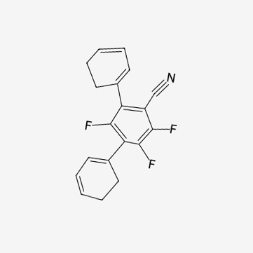 N#Cc1c(F)c(F)c(C2=CC=CCC2)c(F)c1C1=CC=CCC1